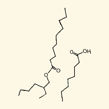 CCCCCCCC(=O)O.CCCCCCCCCC(=O)OCC(CC)CCCC